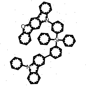 c1ccc(-n2c3ccccc3c3cc(-c4cccc([Si](c5ccccc5)(c5ccccc5)c5cccc(-n6c7ccccc7c7cc8oc9ccccc9c8cc76)c5)c4)ccc32)cc1